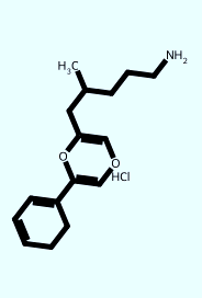 CC(CCCN)CC1=COC=C(C2=CC=CCC2)O1.Cl